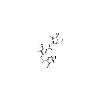 CCc1cn(CC(C)c2cn(CC(C)c3c[nH]n(C)c3=O)n(C)c2=O)n(C)c1=O